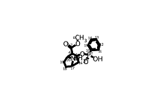 COC(=O)C1C(OP(=O)(O)c2ccccc2)CC2CCC1N2C